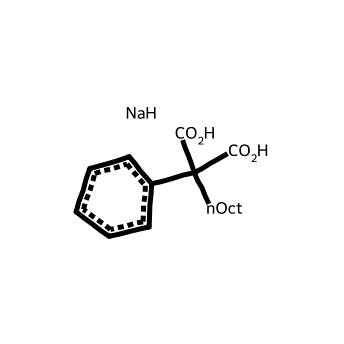 CCCCCCCCC(C(=O)O)(C(=O)O)c1ccccc1.[NaH]